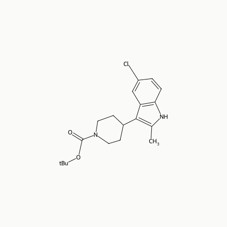 Cc1[nH]c2ccc(Cl)cc2c1C1CCN(C(=O)OC(C)(C)C)CC1